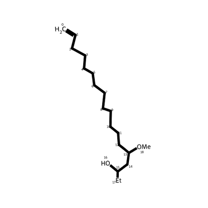 C=CCCCCCC[CH]CCCCC(CC(O)CC)OC